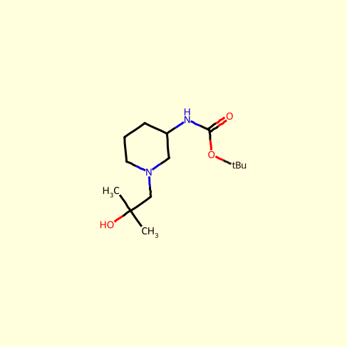 CC(C)(O)CN1CCCC(NC(=O)OC(C)(C)C)C1